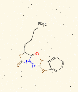 CCCCCCCCCCCCCC=C1SC(=S)N(N=c2sc3ccccc3s2)C1=O